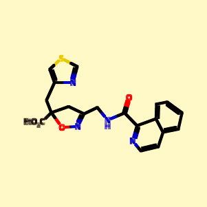 CCOC(=O)C1(Cc2cscn2)CC(CNC(=O)c2nccc3ccccc23)=NO1